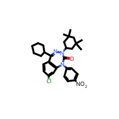 CC1(C)CC(N2N=C(C3CCCCC3)c3ccc(Cl)cc3N(c3ccc([N+](=O)[O-])cc3)C2=O)CC(C)(C)C1